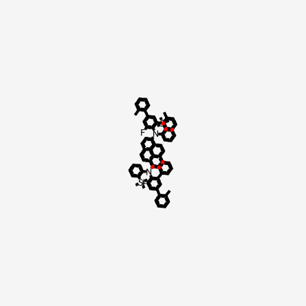 Cc1ccccc1-c1cc(F)c(N(c2ccccc2[Si](C)(C)C)c2ccc3ccc4c(N(c5ccccc5[Si](C)(C)C)c5c(F)cc(-c6ccccc6C)cc5-c5ccccc5C)ccc5ccc2c3c54)c(-c2ccccc2C)c1